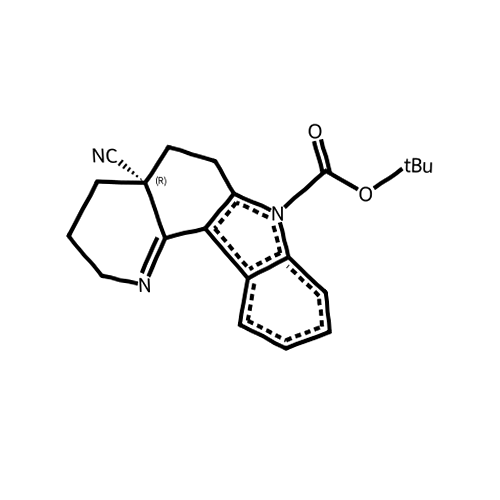 CC(C)(C)OC(=O)n1c2c(c3ccccc31)C1=NCCC[C@@]1(C#N)CC2